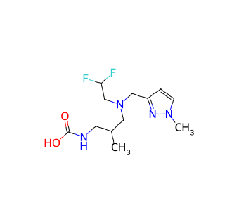 CC(CNC(=O)O)CN(Cc1ccn(C)n1)CC(F)F